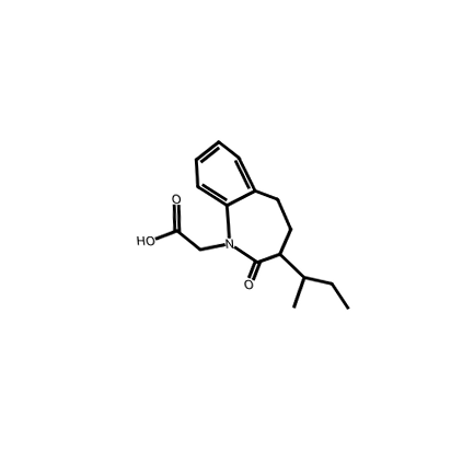 CCC(C)C1CCc2ccccc2N(CC(=O)O)C1=O